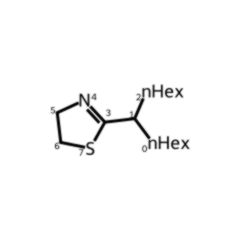 CCCCCCC(CCCCCC)C1=NCCS1